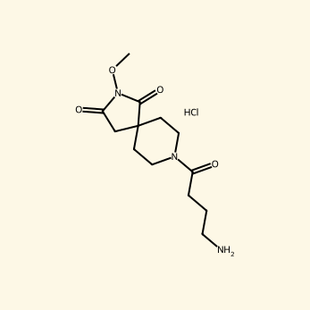 CON1C(=O)CC2(CCN(C(=O)CCCN)CC2)C1=O.Cl